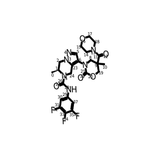 C[C@H]1Cn2ncc(N3CC(C)(C(=O)N4CCOCC4)COC3=O)c2CN1C(=O)Nc1cc(F)c(F)c(F)c1